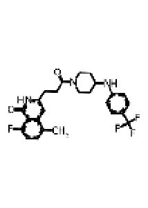 Cc1ccc(F)c2c(=O)[nH]c(CCC(=O)N3CCC(Nc4ccc(C(F)(F)F)cc4)CC3)cc12